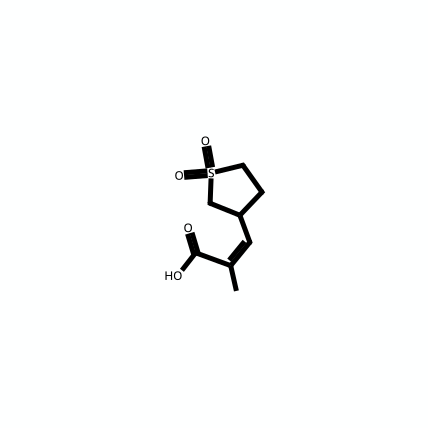 CC(=CC1CCS(=O)(=O)C1)C(=O)O